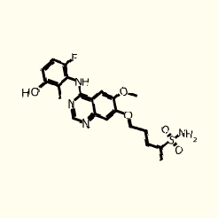 COc1cc2c(Nc3c(F)ccc(O)c3C)ncnc2cc1OCCCC(C)S(N)(=O)=O